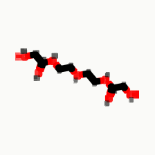 O=C(CO)OCCOCCOC(=O)CO